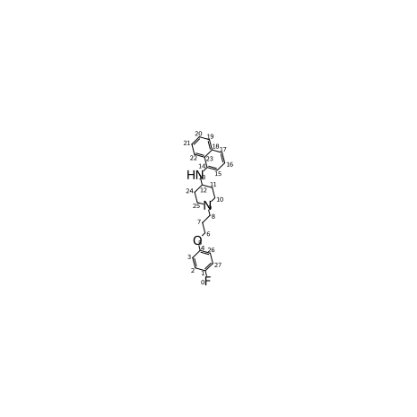 Fc1ccc(OCCCN2CCC(Nc3cccc4ccccc34)CC2)cc1